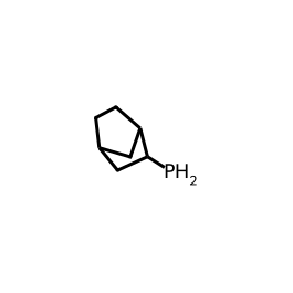 PC1CC2CCC1C2